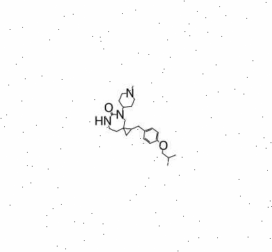 CC(C)COc1ccc(CC2CC23CCNC(=O)N(C2CCN(C)CC2)C3)cc1